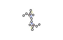 Cc1cc(-c2ccc(N(c3ccc(-c4cccc(-c5ccccc5)c4)cc3)c3ccccc3-c3cccc4c3sc3ccccc34)c(C)c2)ccc1N(c1ccc(-c2cccc(-c3ccccc3)c2)cc1)c1ccccc1-c1cccc2c1sc1ccccc12